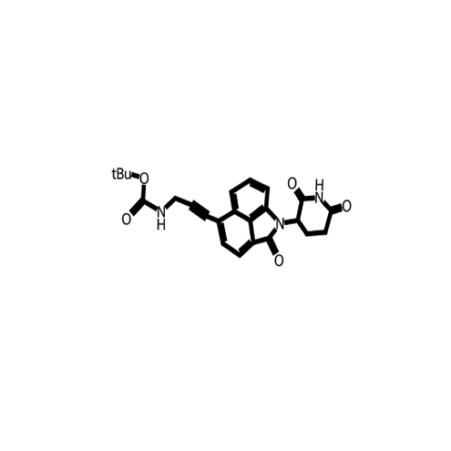 CC(C)(C)OC(=O)NCC#Cc1ccc2c3c(cccc13)N(C1CCC(=O)NC1=O)C2=O